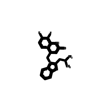 CC(Cc1nc2ccccc2n1Cc1cc(=O)[nH]c2c(F)c(F)ccc12)C(F)(F)F